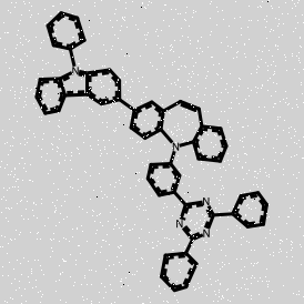 C1=Cc2cc(-c3ccc4c(c3)c3ccccc3n4-c3ccccc3)ccc2N(c2cccc(-c3nc(-c4ccccc4)nc(-c4ccccc4)n3)c2)c2ccccc21